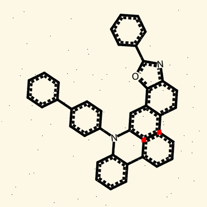 c1ccc(-c2ccc(N(c3ccc4ccc5nc(-c6ccccc6)oc5c4c3)c3ccccc3-c3ccccc3)cc2)cc1